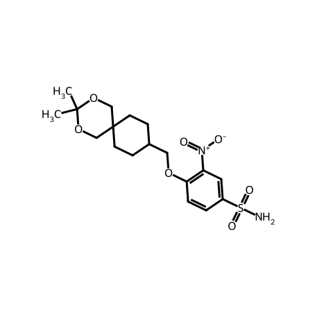 CC1(C)OCC2(CCC(COc3ccc(S(N)(=O)=O)cc3[N+](=O)[O-])CC2)CO1